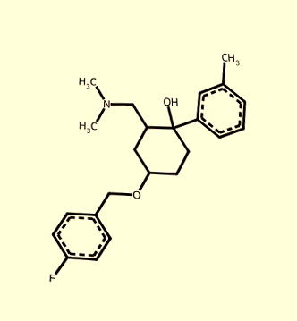 Cc1cccc(C2(O)CCC(OCc3ccc(F)cc3)CC2CN(C)C)c1